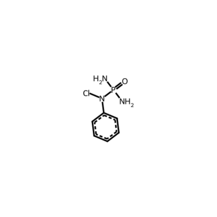 NP(N)(=O)N(Cl)c1ccccc1